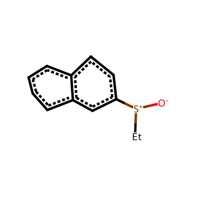 [CH2]C[S+]([O-])c1ccc2ccccc2c1